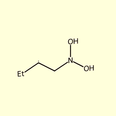 CC[CH]CN(O)O